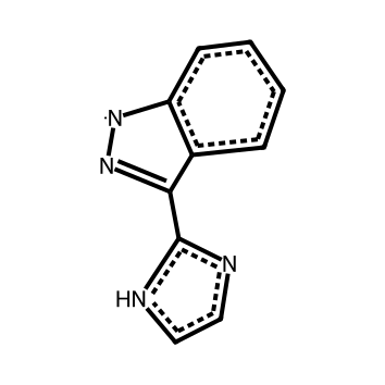 c1ccc2c(c1)[N]N=C2c1ncc[nH]1